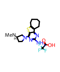 CN[C@@H]1CCN(c2nc(N)nc3c4c(sc23)CCCCC4)C1.O=C(O)C(F)(F)F